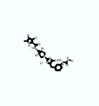 CCNC(=O)Nc1cccc(Cc2nc(N3C[C@@H]4[C@H](C3)[C@@H]4NC(=O)c3[nH]c(C)c(Cl)c3Cl)sc2C(=O)[O-])c1.[Li+]